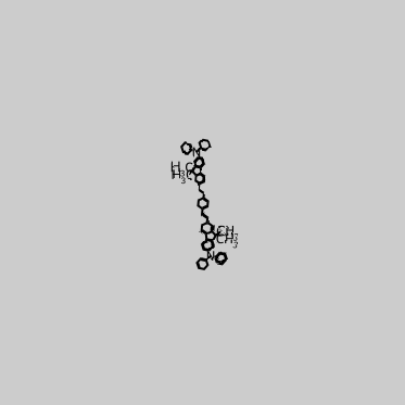 CC1(C)C2=CC(/C=C/C3=CC=C(/C=C/c4ccc5c(c4)C(C)(C)c4cc(N(C6=CCCC=C6)C6=CCCCC6)ccc4-5)CC3)CC=C2c2ccc(N(C3=CC=CCC3)c3ccccc3)cc21